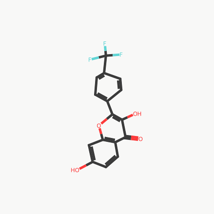 O=c1c(O)c(-c2ccc(C(F)(F)F)cc2)oc2cc(O)ccc12